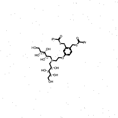 CC(C)C(=O)SCc1ccc(OCCN(C[C@H](O)[C@@H](O)[C@H](O)CO)C[C@H](O)[C@@H](O)[C@H](O)CO)cc1CSC(=O)C(C)C